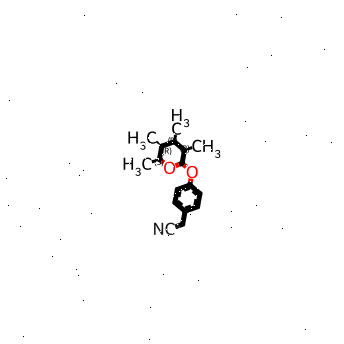 C[C@@H]1[C@@H](C)[C@@H](C)C(Oc2ccc(CC#N)cc2)O[C@H]1C